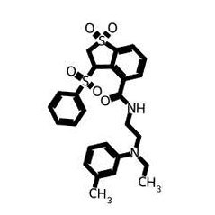 CCN(CCNC(=O)c1cccc2c1C(S(=O)(=O)c1ccccc1)CS2(=O)=O)c1cccc(C)c1